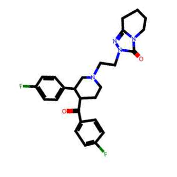 O=C(c1ccc(F)cc1)C1CCN(CCn2nc3n(c2=O)CCCC3)CC1c1ccc(F)cc1